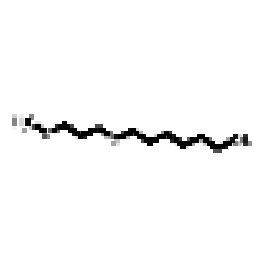 CCCCCCCOCCCOC